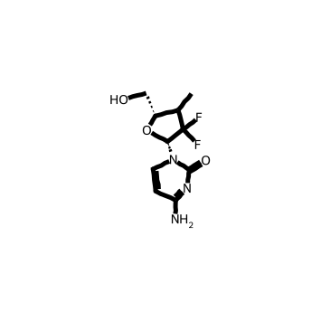 CC1[C@@H](CO)O[C@@H](n2ccc(N)nc2=O)C1(F)F